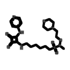 CN(OCCN1CCOCC1)S(=O)(=O)CCCCCCNc1c(Nc2ccncc2)c(=O)c1=O